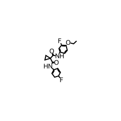 CCOc1ccc(NC(=O)C2(C(=O)NC3=CCC(F)C=C3)CC2)cc1F